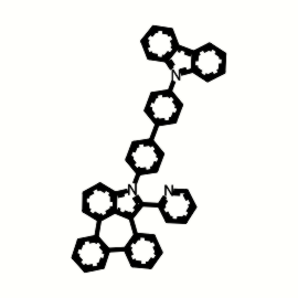 c1ccc(-c2c3c4c(cccc4n2-c2ccc(-c4ccc(-n5c6ccccc6c6ccccc65)cc4)cc2)-c2ccccc2-c2ccccc2-3)nc1